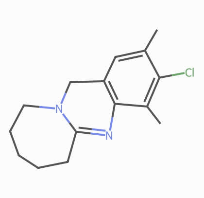 Cc1cc2c(c(C)c1Cl)N=C1CCCCCN1C2